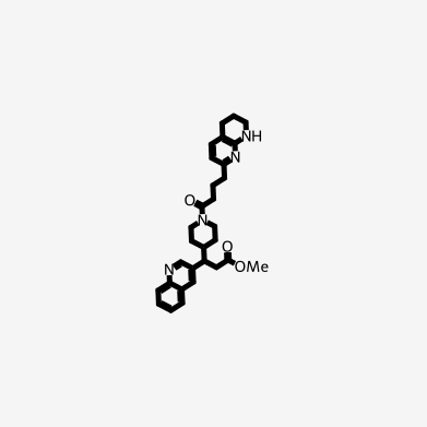 COC(=O)CC(c1cnc2ccccc2c1)C1CCN(C(=O)CCCc2ccc3c(n2)NCCC3)CC1